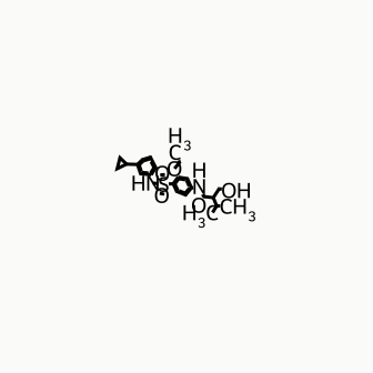 CCOc1cc(NC(=O)C(CO)C(C)C)ccc1S(=O)(=O)Nc1cccc(C2CC2)c1